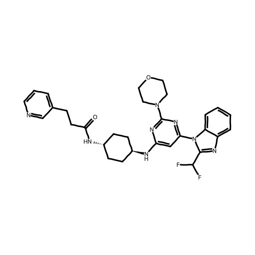 O=C(CCc1cccnc1)N[C@H]1CC[C@H](Nc2cc(-n3c(C(F)F)nc4ccccc43)nc(N3CCOCC3)n2)CC1